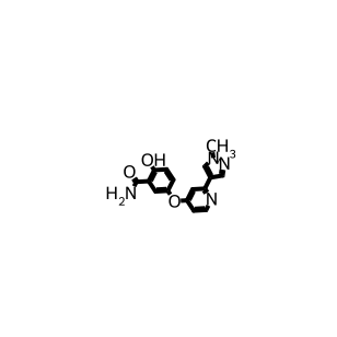 Cn1cc(-c2cc(Oc3ccc(O)c(C(N)=O)c3)ccn2)cn1